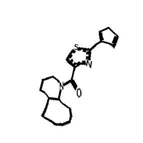 O=C(c1csc(C2=CCC=C2)n1)N1CCCC2CCCCC21